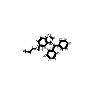 ICCNc1ccc2ncn(C(c3ccccc3)c3ccccc3)c2c1